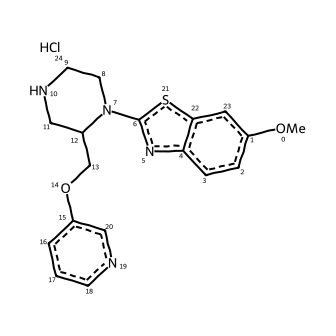 COc1ccc2nc(N3CCNCC3COc3cccnc3)sc2c1.Cl